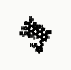 Cc1ccsc1CCc1ccc(O)c2c1CC1CC3C(N(C)C)C(O)=C(C(N)=O)C(=O)C3(O)C(O)=C1C2=O